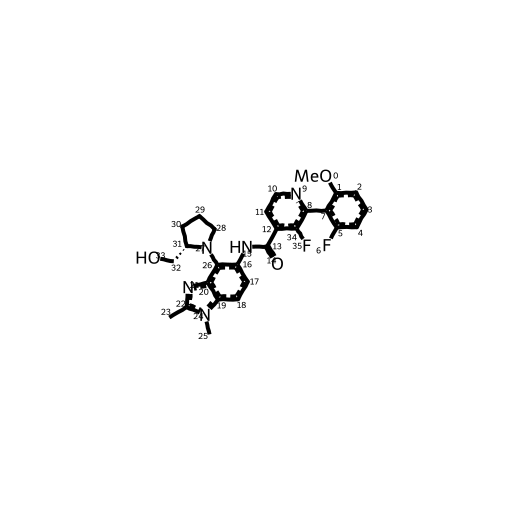 COc1cccc(F)c1-c1nccc(C(=O)Nc2ccc3c(nc(C)n3C)c2N2CCC[C@H]2CO)c1F